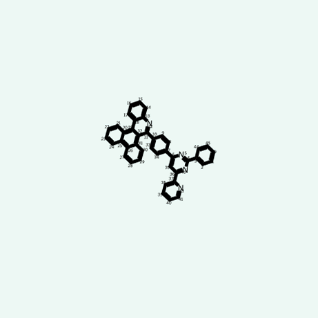 c1ccc(-c2nc(-c3ccc(-c4nc5ccccc5c5c6ccccc6c6ccccc6c45)cc3)cc(-c3ccccn3)n2)cc1